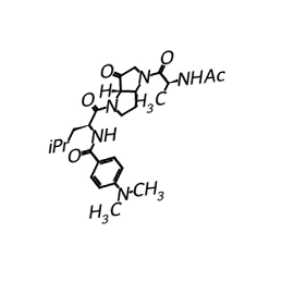 CC(=O)N[C@@H](C)C(=O)N1CC(=O)[C@@H]2C1CCN2C(=O)[C@H](CC(C)C)NC(=O)c1ccc(N(C)C)cc1